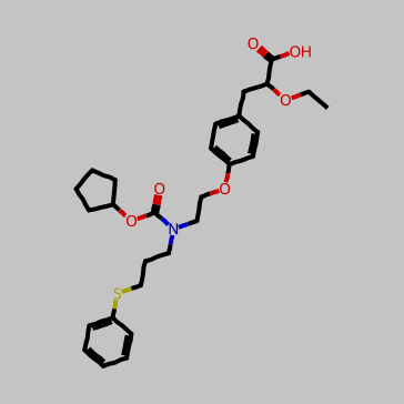 CCOC(Cc1ccc(OCCN(CCCSc2ccccc2)C(=O)OC2CCCC2)cc1)C(=O)O